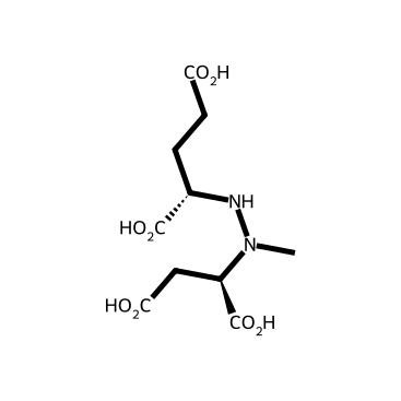 CN(N[C@@H](CCC(=O)O)C(=O)O)[C@H](CC(=O)O)C(=O)O